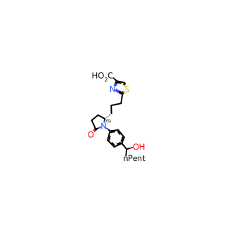 CCCCCC(O)c1ccc(N2C(=O)CC[C@@H]2CCCc2nc(C(=O)O)cs2)cc1